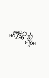 COc1ccc(-c2c(C)nc3sc(C(O)(C4CC4)C4CC4)nn23)cc1S(=O)(=O)C(C)(C)C(=O)O